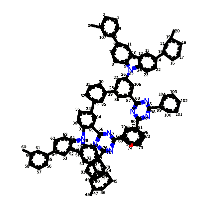 Cc1cccc(-c2ccc3c(c2)c2cc(-c4cccc(C)c4)ccc2n3-c2cc(-c3cccc(-c4ccc(-n5c6ccc(-c7cccc(C)c7)cc6c6cc(-c7cccc(C)c7)ccc65)c(-c5nc(-c6ccccc6)nc(-c6ccccc6)n5)c4)c3)cc(-c3nc(-c4ccccc4)nc(-c4ccccc4)n3)c2)c1